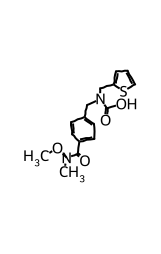 CON(C)C(=O)c1ccc(CN(Cc2cccs2)C(=O)O)cc1